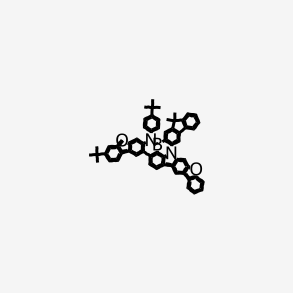 CC(C)(C)c1ccc(N2B3c4cc5c(cc4-n4c6cc7oc8ccccc8c7cc6c6ccc(c3c64)-c3cc4c(cc32)oc2cc(C(C)(C)C)ccc24)-c2ccccc2C5(C)C)cc1